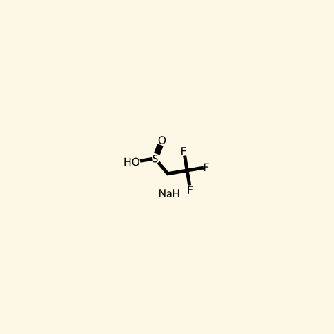 O=S(O)CC(F)(F)F.[NaH]